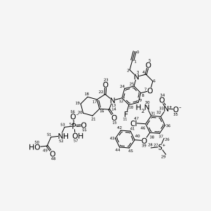 C#CCN1C(=O)COc2cc(F)c(N3C(=O)C4=C(CCCC4)C3=O)cc21.C[S+](C)C.Nc1c([N+](=O)[O-])ccc(Oc2ccccc2)c1Cl.O=C(O)CNCP(=O)([O-])O